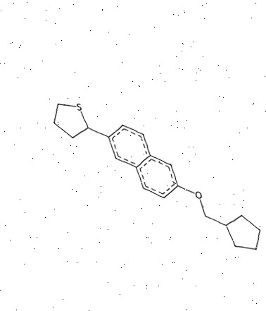 c1cc2cc(C3CCCS3)ccc2cc1OCC1CCCC1